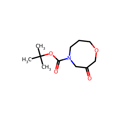 CC(C)(C)OC(=O)N1CCCOCC(=O)C1